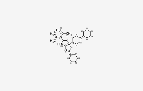 CC(C)N(CCC(CCN1CCCCC1)(C(N)=O)C1CCC(C2CCCCC2)CC1)C(C)C